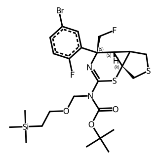 CC(C)(C)OC(=O)N(COCC[Si](C)(C)C)C1=N[C@](CF)(c2cc(Br)ccc2F)[C@@H]2C3CSC[C@]32S1